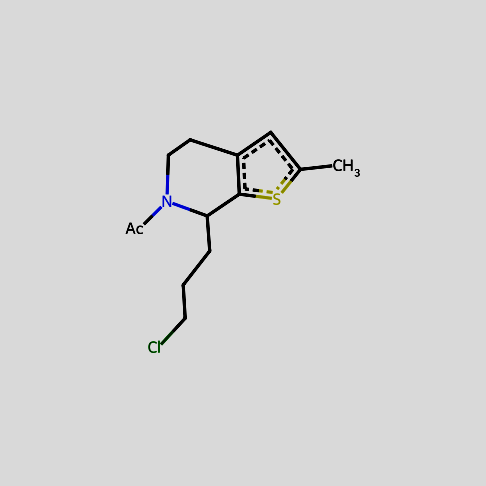 CC(=O)N1CCc2cc(C)sc2C1CCCCl